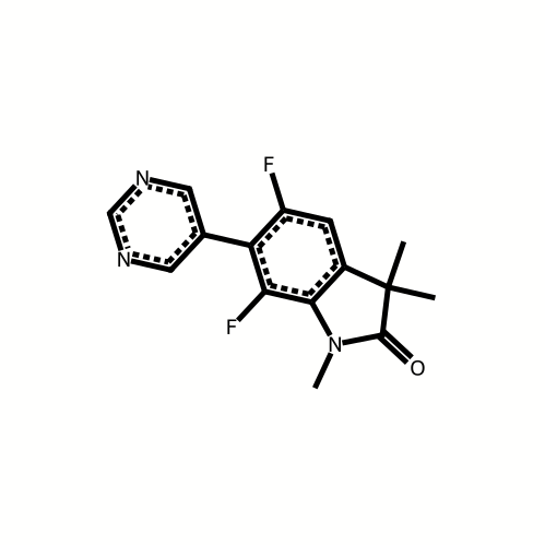 CN1C(=O)C(C)(C)c2cc(F)c(-c3cncnc3)c(F)c21